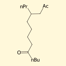 CCCCC(=O)CCCCC(CCC)CC(C)=O